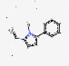 C=Cc1ccc(-c2ccccc2)n1CC